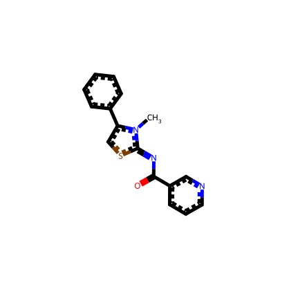 Cn1c(-c2ccccc2)csc1=NC(=O)c1cccnc1